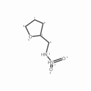 O=[SH](=O)NCC1CCCO1